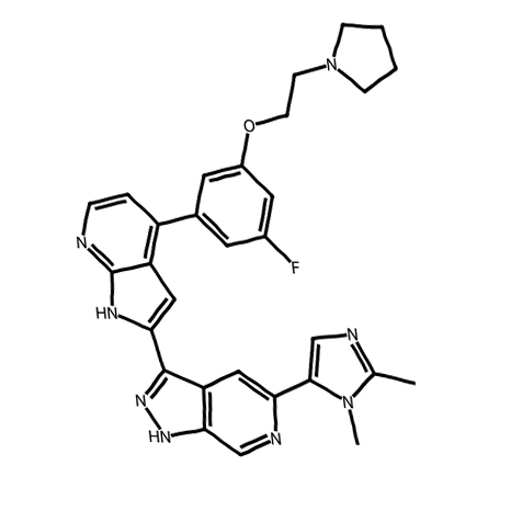 Cc1ncc(-c2cc3c(-c4cc5c(-c6cc(F)cc(OCCN7CCCC7)c6)ccnc5[nH]4)n[nH]c3cn2)n1C